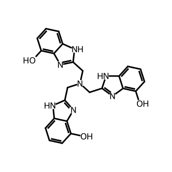 Oc1cccc2[nH]c(CN(Cc3nc4c(O)cccc4[nH]3)Cc3nc4c(O)cccc4[nH]3)nc12